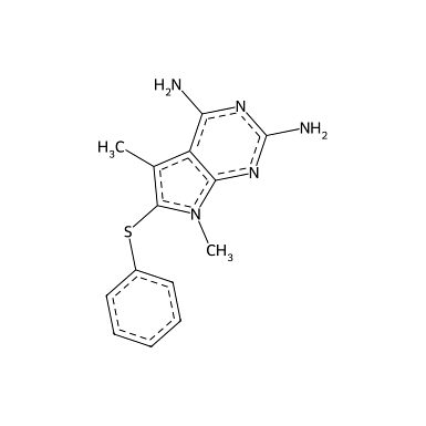 Cc1c(Sc2ccccc2)n(C)c2nc(N)nc(N)c12